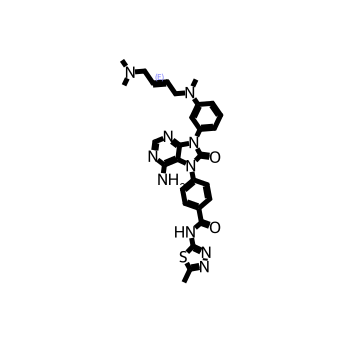 Cc1nnc(NC(=O)c2ccc(-n3c(=O)n(-c4cccc(N(C)C/C=C/CN(C)C)c4)c4ncnc(N)c43)cc2)s1